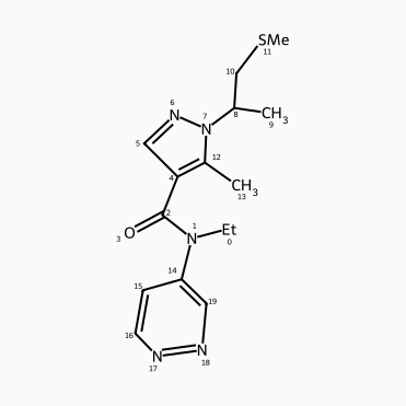 CCN(C(=O)c1cnn(C(C)CSC)c1C)c1ccnnc1